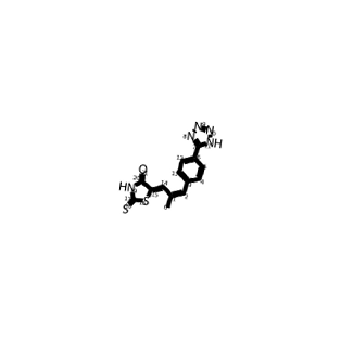 CC(=Cc1ccc(-c2nnn[nH]2)cc1)C=C1SC(=S)NC1=O